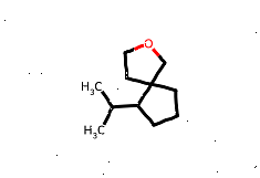 CC(C)C1CCCC12CCOC2